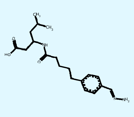 CC(C)CC(CC(=O)O)NC(=O)CCCCc1ccc(C=NN)cc1